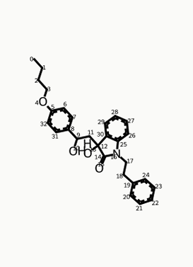 CCCCOc1ccc(C(O)CC2(O)C(=O)N(CCc3ccccc3)c3ccccc32)cc1